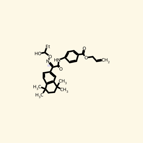 C=CCOC(=O)c1ccc(NC(=O)/C(=N\OC(O)CC)c2ccc3c(c2)C(C)(C)CCC3(C)C)cc1